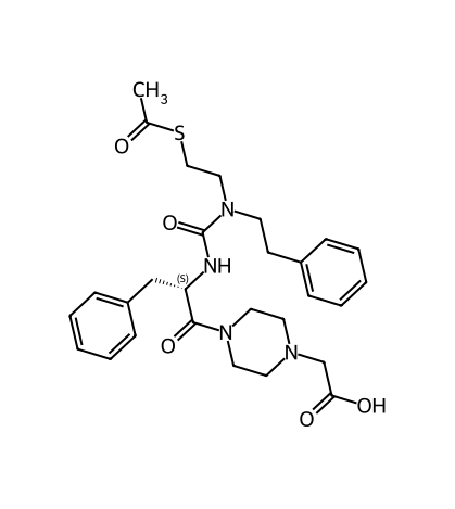 CC(=O)SCCN(CCc1ccccc1)C(=O)N[C@@H](Cc1ccccc1)C(=O)N1CCN(CC(=O)O)CC1